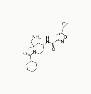 CC1(CN)CC(NC(=O)c2cc(C3CC3)on2)CCN1C(=O)C1CCCCC1